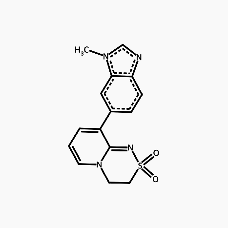 Cn1cnc2ccc(C3=CC=CN4CCS(=O)(=O)N=C34)cc21